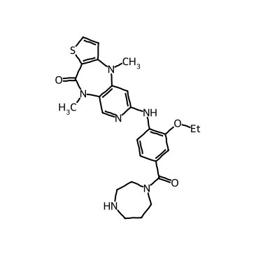 CCOc1cc(C(=O)N2CCCNCC2)ccc1Nc1cc2c(cn1)N(C)C(=O)c1sccc1N2C